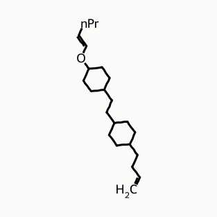 C=CCCC1CCC(CCC2CCC(OC=CCCC)CC2)CC1